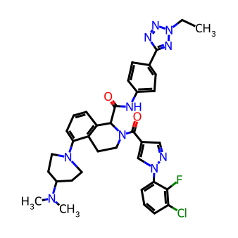 CCn1nnc(-c2ccc(NC(=O)C3c4cccc(N5CCC(N(C)C)CC5)c4CCN3C(=O)c3cnn(-c4cccc(Cl)c4F)c3)cc2)n1